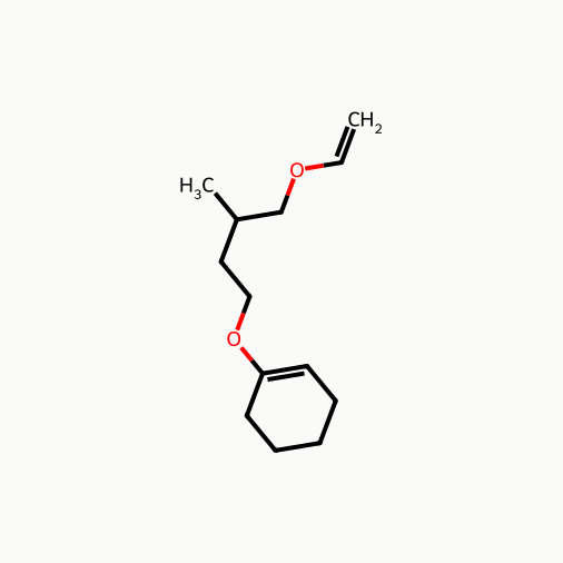 C=COCC(C)CCOC1=CCCCC1